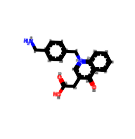 NCc1ccc(Cn2cc(CC(=O)O)c(=O)c3ccccc32)cc1